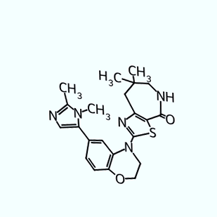 Cc1ncc(-c2ccc3c(c2)N(c2nc4c(s2)C(=O)NCC(C)(C)C4)CCO3)n1C